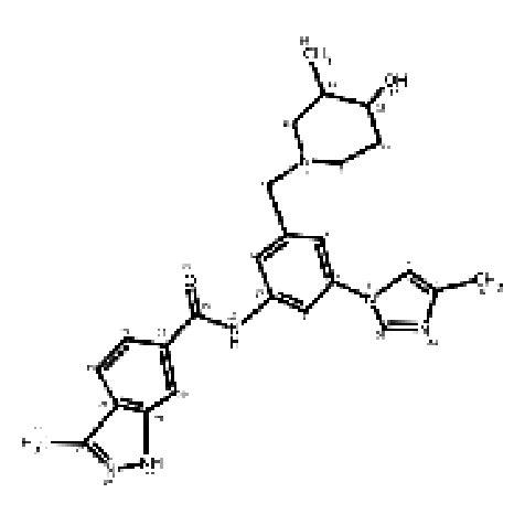 Cc1cn(-c2cc(CN3CCC(O)C(C)C3)cc(NC(=O)c3ccc4c(C)n[nH]c4c3)c2)cn1